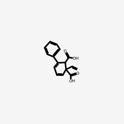 C=CC1(C(=O)O)C=CC=C(c2ccccc2)C1C(=O)O